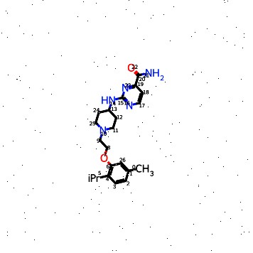 Cc1ccc(C(C)C)c(OCCN2CCC(Nc3nccc(C(N)=O)n3)CC2)c1